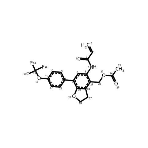 C=CC(=O)Nc1cc(-c2ccc(OC(F)(F)F)cc2)c2c(c1COC(C)=O)CCO2